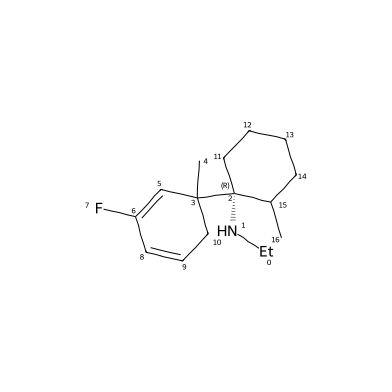 CCN[C@]1(C2(C)C=C(F)C=CC2)CCCCC1C